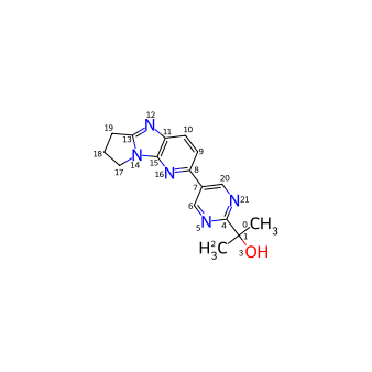 CC(C)(O)c1ncc(-c2ccc3nc4n(c3n2)CCC4)cn1